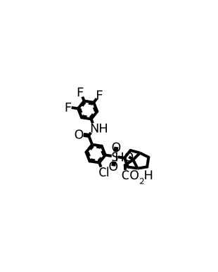 O=C(O)CC1(O)C2CCC1CC(S(=O)(=O)c1cc(C(=O)Nc3cc(F)c(F)c(F)c3)ccc1Cl)C2